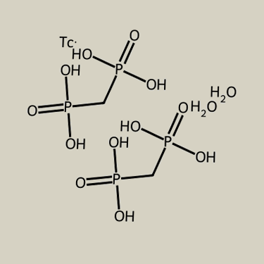 O.O.O=P(O)(O)CP(=O)(O)O.O=P(O)(O)CP(=O)(O)O.[Tc]